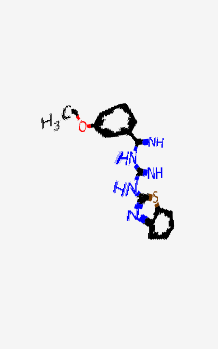 CCOc1cccc(C(=N)NC(=N)Nc2nc3ccccc3s2)c1